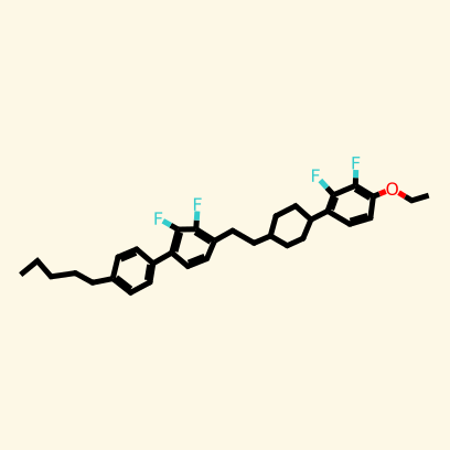 CCCCCc1ccc(-c2ccc(CCC3CCC(c4ccc(OCC)c(F)c4F)CC3)c(F)c2F)cc1